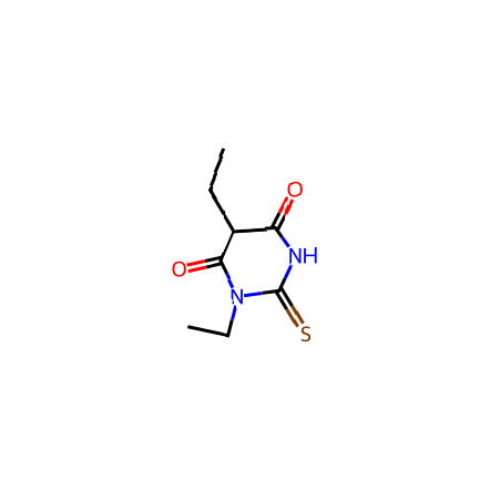 CCC1C(=O)NC(=S)N(CC)C1=O